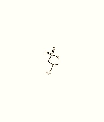 CP1COS(=O)(=O)C1